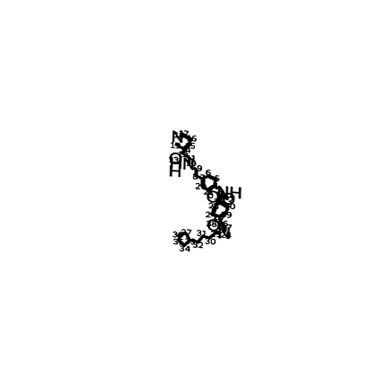 O=S(=O)(Nc1ccc(CCNCC(O)c2cccnc2)cc1)c1ccc(-c2cnc(CCCC3CCCC3)o2)cc1